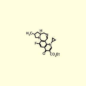 CCOC(=O)c1cn(C2CC2)c2c3c(c(F)cc2c1=O)N1C[C@@H](C)C[C@H]1CN=C3